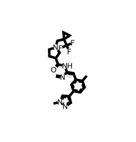 C=N/C(=C\c1cc(-c2cnn(C)c2)ccc1C)NC(=O)C1CCN(CC2(C(F)(F)F)CC2)C1